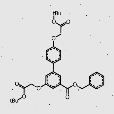 CC(C)(C)OC(=O)COc1ccc(-c2cc(OCC(=O)OC(C)(C)C)cc(C(=O)OCc3ccccc3)c2)cc1